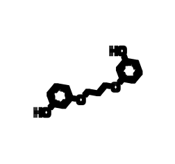 Oc1cccc(OCCCOc2cccc(O)c2)c1